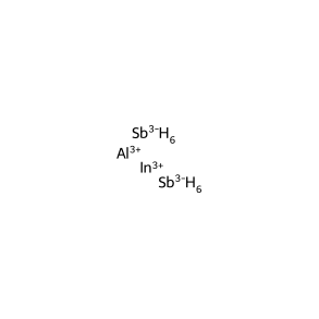 [Al+3].[In+3].[SbH6-3].[SbH6-3]